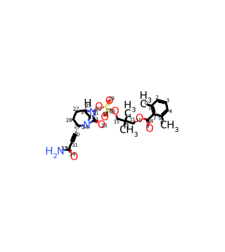 Cc1cccc(C)c1C(=O)OCC(C)(C)COS(=O)(=O)ON1C(=O)N2C[C@H]1CC[C@H]2C#CC(N)=O